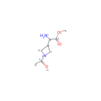 COC(=O)C(N)C1CN(C(C)=O)C1